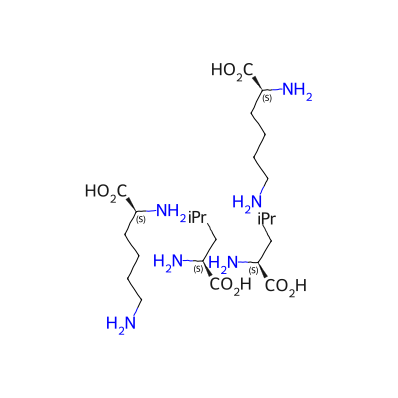 CC(C)C[C@H](N)C(=O)O.CC(C)C[C@H](N)C(=O)O.NCCCC[C@H](N)C(=O)O.NCCCC[C@H](N)C(=O)O